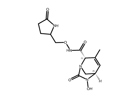 CC1=C[C@@H]2CN(C(=O)N2O)[C@@H]1C(=O)NOCC1CCC(=O)N1